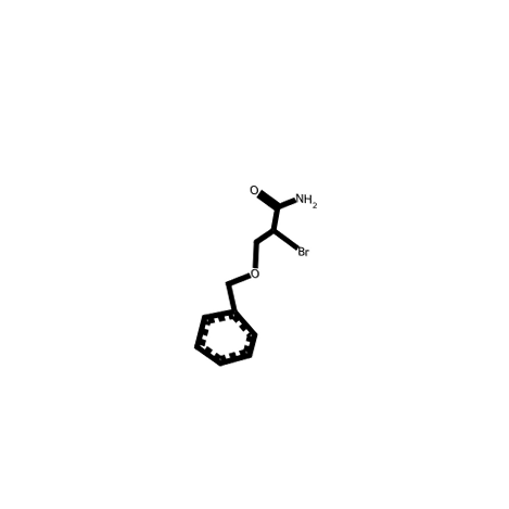 NC(=O)C(Br)COCc1ccccc1